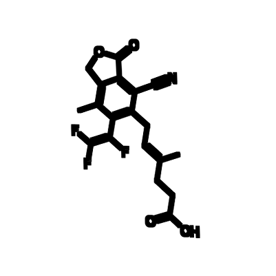 C/C(=C\Cc1c(C#N)c2c(c(C)c1C(F)=C(F)F)COC2=O)CCC(=O)O